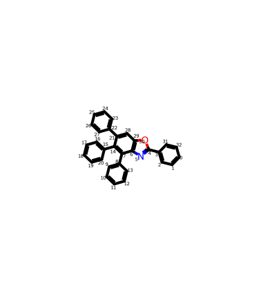 c1ccc(-c2nc3c(-c4ccccc4)c(-c4ccccc4)c(-c4ccccc4)cc3o2)cc1